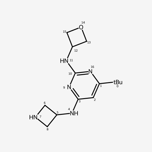 CC(C)(C)c1cc(NC2CNC2)nc(NC2COC2)n1